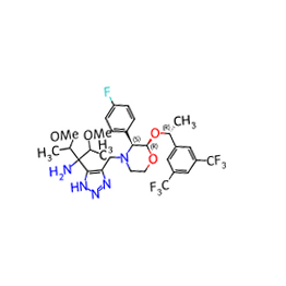 COC(C)C(N)(c1[nH]nnc1CN1CCO[C@H](O[C@H](C)c2cc(C(F)(F)F)cc(C(F)(F)F)c2)[C@@H]1c1ccc(F)cc1)C(C)OC